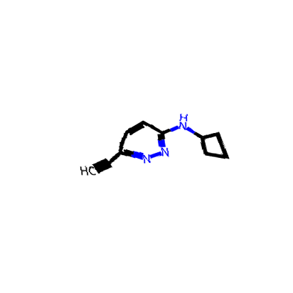 C#Cc1ccc(NC2CCC2)nn1